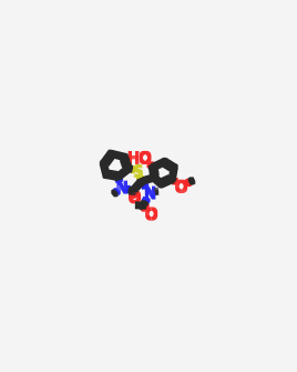 COc1ccc(O)c(C2(N(C)C(C)=O)Sc3ccccc3N(C)C2=O)c1